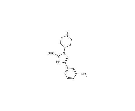 O=CC1NC(c2cccc([N+](=O)[O-])c2)=CN1C1CCNCC1